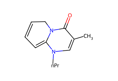 CCCN1C=C(C)C(=O)N2CC=CC=C12